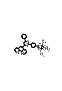 CC1(C)OB(c2ccc(-c3nc(-c4ccccc4)cc(-c4cc5cccnc5c5ncccc45)n3)cc2)OC1(C)C